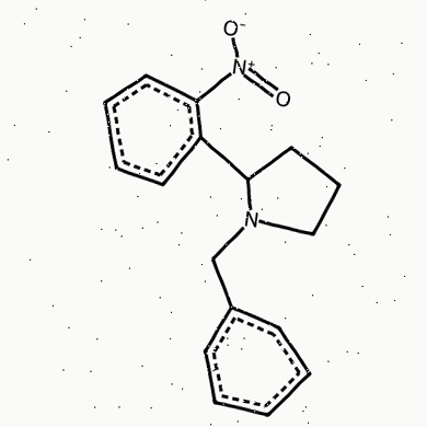 O=[N+]([O-])c1ccccc1C1CCCN1Cc1ccccc1